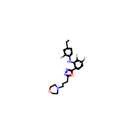 CCc1ccc(Nc2c(-c3nnc(CCCN4CCOCC4)o3)ccc(F)c2F)c(F)c1